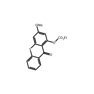 CCOC(=O)Oc1cc(OC)cc2sc3ccccc3c(=O)c12